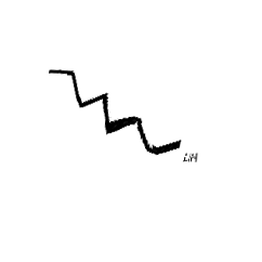 C=CC=CCCCC.[LiH]